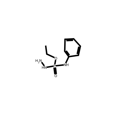 CCOP(=O)(NN)Nc1ccccc1